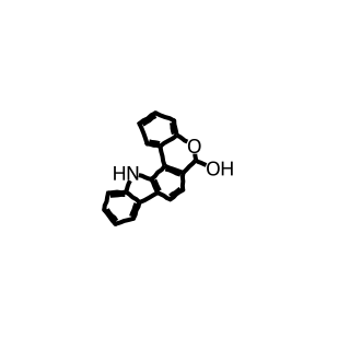 OC1Oc2ccccc2-c2c1ccc1c2[nH]c2ccccc21